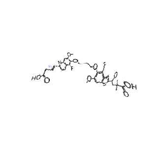 COc1cc2nc(/C=C/CC(=O)O)ccc2c(F)c1OCCCOc1c(OC)cc2sc(C(=O)CC(C)(C)C(=O)O)cc2c1F